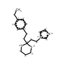 CCc1ccc(CCC2(CCn3ccnc3)SCCCS2)cc1